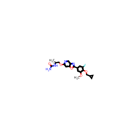 COc1cc(-c2nc3cnc(OC[C@H](C)NC(N)=O)cc3o2)cc(F)c1OCC1CC1